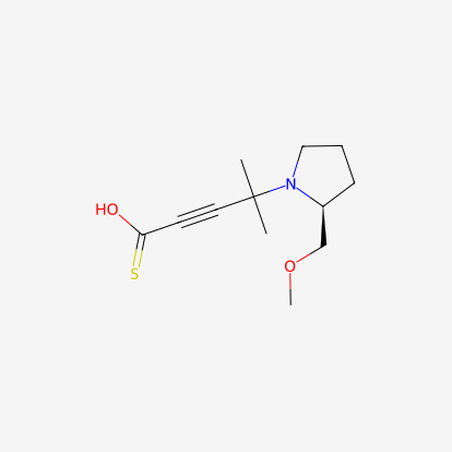 COC[C@@H]1CCCN1C(C)(C)C#CC(O)=S